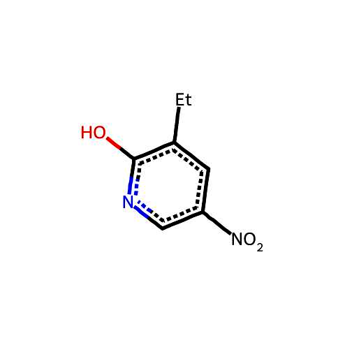 CCc1cc([N+](=O)[O-])cnc1O